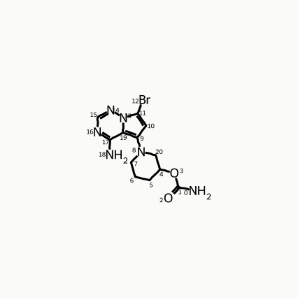 NC(=O)OC1CCCN(c2cc(Br)n3ncnc(N)c23)C1